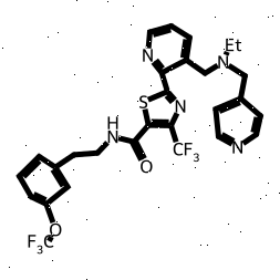 CCN(Cc1ccncc1)Cc1cccnc1-c1nc(C(F)(F)F)c(C(=O)NCCc2cccc(OC(F)(F)F)c2)s1